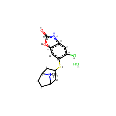 CN1C2CCC1CC(Sc1cc3oc(=O)[nH]c3cc1Cl)C2.Cl